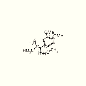 CC(=O)O.COc1ccc(C(O)C(N)C(=O)O)cc1OC